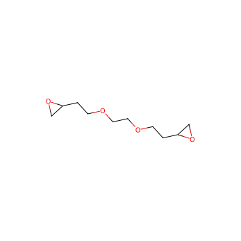 C(COCCC1CO1)OCCC1CO1